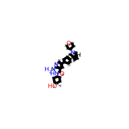 C[C@]1(O)CC[C@H](NC(=O)c2cc(-c3ccc([C@@]45CC[C@@H]4CN(C4CCOCC4)C5)cc3)cnc2N)CC1